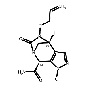 C=CCON1C(=O)N2C[C@H]1c1cnn(C)c1[C@H]2C(N)=O